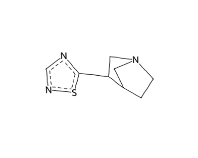 c1nsc(C2CN3CCC2C3)n1